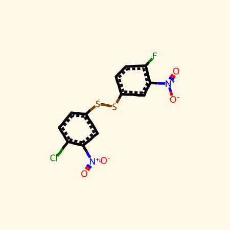 O=[N+]([O-])c1cc(SSc2ccc(Cl)c([N+](=O)[O-])c2)ccc1F